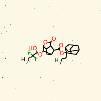 CCC1(OC(=O)C2C3CC4C(OC(=O)C42)C3OC(O)C(C)(F)F)C2CC3CC(C2)CC1C3